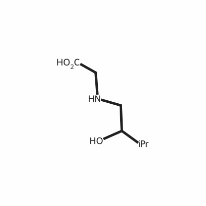 CC(C)C(O)CNCC(=O)O